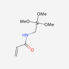 C=CC(=O)NC[Si](OC)(OC)OC